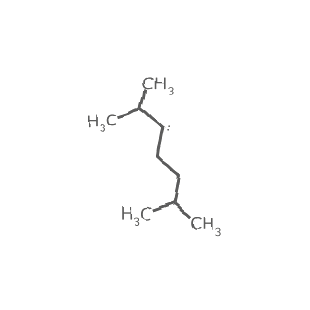 CC(C)[C]CCC(C)C